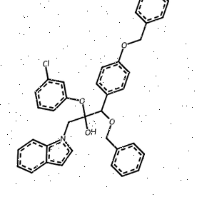 OC(Cn1ccc2ccccc21)(Oc1cccc(Cl)c1)C(OCc1ccccc1)c1ccc(OCc2ccccc2)cc1